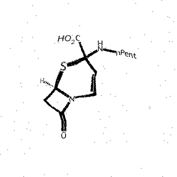 CCCCCNC1(C(=O)O)C=CN2C(=O)C[C@H]2S1